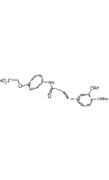 COc1ccc(C=CC(=O)Nc2ccc(OCC(=O)O)cc2)cc1OC